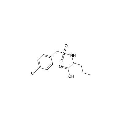 CCCC(NS(=O)(=O)Cc1ccc(Cl)cc1)C(=O)O